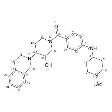 CC(=O)N1CCC(Nc2ccc(C(=O)N3CCC(N4CCc5ccccc5C4)C(O)C3)cc2)CC1